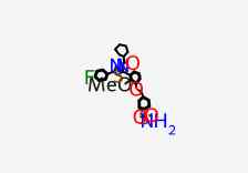 COc1c(OCc2ccc(S(N)(=O)=O)cc2)cccc1C1SC(c2ccc(F)cc2)=NN1C(=O)C1CCCCC1